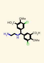 COc1c(Cl)cc(C(NCCN)c2cc(Cl)c(OC)c(C(=O)O)c2)cc1C(=O)O